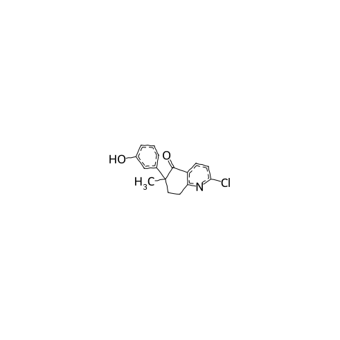 CC1(c2cccc(O)c2)CCc2nc(Cl)ccc2C1=O